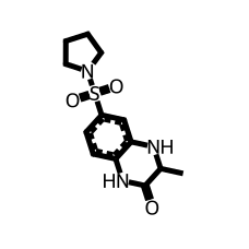 CC1Nc2cc(S(=O)(=O)N3CCCC3)ccc2NC1=O